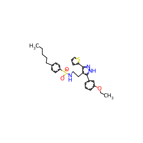 CCCCCc1ccc(S(=O)(=O)NCCc2c(-c3cccs3)n[nH]c2-c2cccc(OCC)c2)cc1